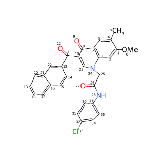 COc1cc2c(cc1C)c(=O)c(C(=O)c1ccc3ccccc3c1)cn2CC(=O)Nc1ccc(Cl)cc1